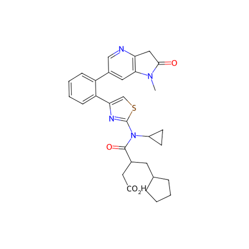 CN1C(=O)Cc2ncc(-c3ccccc3-c3csc(N(C(=O)C(CC(=O)O)CC4CCCC4)C4CC4)n3)cc21